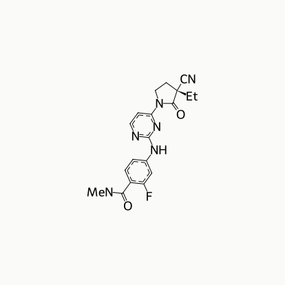 CC[C@]1(C#N)CCN(c2ccnc(Nc3ccc(C(=O)NC)c(F)c3)n2)C1=O